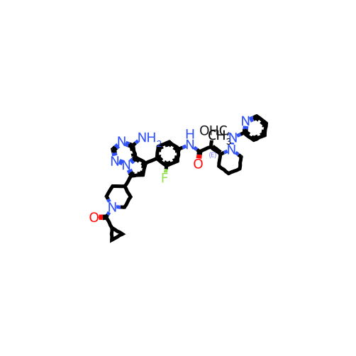 C/C(C(=O)Nc1ccc(-c2cc(C3CCN(C(=O)C4CC4)CC3)n3ncnc(N)c23)c(F)c1)=C1/CCCCN1N(C=O)c1ccccn1